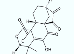 C=C1C(=O)[C@]23C[C@H]1CC[C@H]2[C@]12CO[C@H](CC1=O)C(C)(C)C2=C(O)C3=O